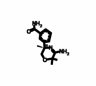 CC1(C)OC[C@@](C)(c2cccc(C(N)=O)c2)N=C1N